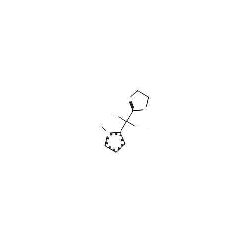 CCCCCCC(C#N)(C1=NCCN1)c1cccn1C